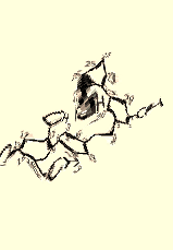 Cc1cc(Cc2ccc(-c3c(C)cc(C)cc3C)cc2)cc(-c2ccccc2N)c1